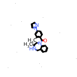 Cc1cc(-n2cccn2)ccc1C(=O)N1C[C@@H](C)NCc2ccccc21